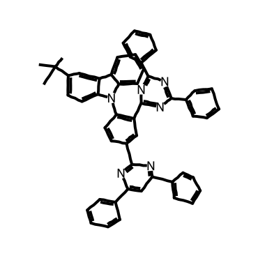 CC(C)(C)c1ccc2c(c1)c1ccccc1n2-c1ccc(-c2nc(-c3ccccc3)cc(-c3ccccc3)n2)cc1-c1nc(-c2ccccc2)nc(-c2ccccc2)n1